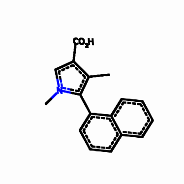 Cc1c(C(=O)O)cn(C)c1-c1cccc2ccccc12